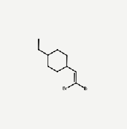 CCC1CCC(C=C(Br)Br)CC1